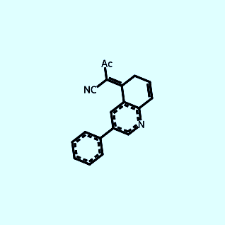 CC(=O)C(C#N)=C1CC=Cc2ncc(-c3ccccc3)cc21